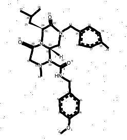 COc1ccc(CNC(=O)N2[C@H]3CN(Cc4ccc(C)cc4)C(=O)[C@H](CC(C)C)N3C(=O)CN2C)cc1